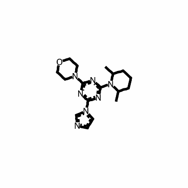 CC1CCCC(C)N1c1nc(N2CCOCC2)nc(-n2ccnc2)n1